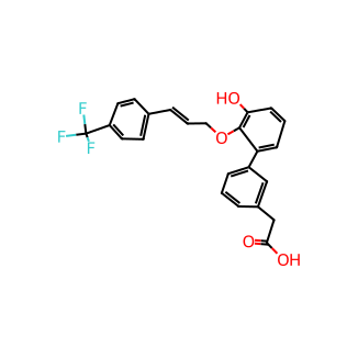 O=C(O)Cc1cccc(-c2cccc(O)c2OCC=Cc2ccc(C(F)(F)F)cc2)c1